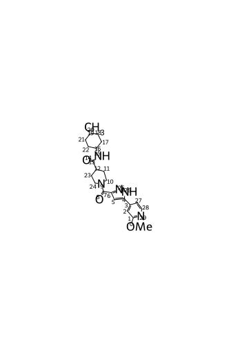 COc1cc(-c2cc(C(=O)N3CCC(C(=O)N[C@H]4CC[C@@H](C)CC4)CC3)n[nH]2)ccn1